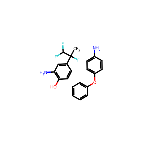 Nc1cc(C(F)(C(F)F)C(F)(F)F)ccc1O.Nc1ccc(Oc2ccccc2)cc1